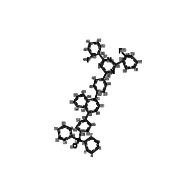 O=P(c1ccccc1)(c1ccccc1)c1ccc(-c2ccc(-c3ccc(-c4nc(-c5ccccc5F)nc(-c5ccccc5F)n4)cc3)c3ccccc23)cc1